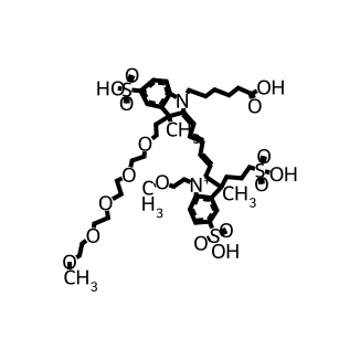 COCCOCCOCCOCCOCCC1(C)\C(=C/C=C/C=C/C2=[N+](CCOC)c3ccc(S(=O)(=O)O)cc3C2(C)CCCS(=O)(=O)O)N(CCCCCC(=O)O)c2ccc(S(=O)(=O)O)cc21